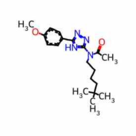 COc1ccc(-c2nnc(N(CCCCC(C)(C)C)C(C)=O)[nH]2)cc1